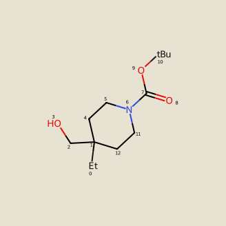 CCC1(CO)CCN(C(=O)OC(C)(C)C)CC1